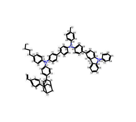 C=Cc1ccc(C23CC4CC(C2)CC(c2ccc(N(c5ccc(CCCC)cc5)c5ccc(-c6ccc(N(c7ccc(C)cc7)c7ccc(-c8ccc9c(c8)c8ccccc8n9-c8ccccc8)cc7)cc6)cc5)cc2)(C4)C3)cc1